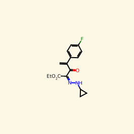 C=C(C(=O)/C(=N\NC1CC1)C(=O)OCC)c1ccc(F)cc1